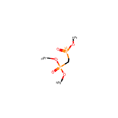 CCCO[PH](=O)CP(=O)(OCCC)OCCC